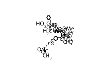 CC[C@H](C)[C@@H]([C@@H](CC(=O)N1CCC[C@H]1[C@H](OC)[C@@H](C)C(=O)N[C@@H](Cc1ccccc1)C(=O)O)OC)N(C)C(=O)[C@@H](NC(=O)[C@H](C(C)C)N(C)C(=O)OCc1ccc(CC(=O)CCCCCN2C(=O)CC(C)C2=O)cc1)C(C)C